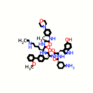 C=CNCCCC[C@H](NC(=O)[C@H](Cc1ccc(-c2ccccc2OC)cc1)NC(=O)[C@H](Cc1c[nH]c2ccc(O)cc12)NC(=O)[C@H]1CCC[C@H](N)C1)C(=O)N[C@H](C)C(=O)Nc1ccc(N2CCOCC2)cc1